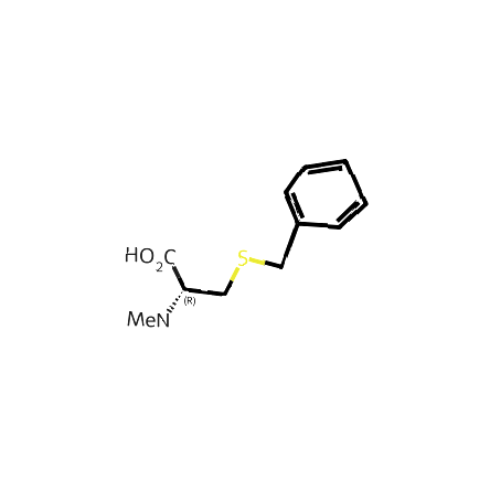 CN[C@@H](CSCc1ccccc1)C(=O)O